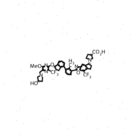 COc1nc(O[C@H]2CCc3c(-c4cccc(-c5nc6cc7c(c(C(F)(F)F)c6o5)CC[C@H]7N5CC[C@@H](C(=O)O)C5)c4C)cccc32)c(C(F)(F)F)nc1CN1CC[C@@H](O)C1